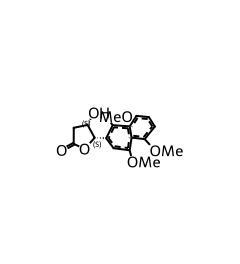 COc1c([C@@H]2OC(=O)C[C@@H]2O)cc(OC)c2c(OC)cccc12